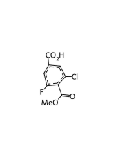 COC(=O)c1c(F)cc(C(=O)O)cc1Cl